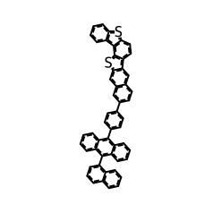 c1ccc2c(-c3c4ccccc4c(-c4ccc(-c5ccc6cc7c(cc6c5)sc5c7ccc6sc7ccccc7c65)cc4)c4ccccc34)cccc2c1